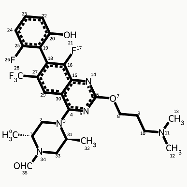 C[C@@H]1CN(c2nc(OCCCN(C)C)nc3c(F)c(-c4c(O)cccc4F)c(C(F)(F)F)cc23)[C@@H](C)CN1C=O